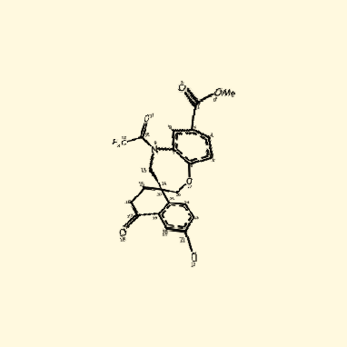 COC(=O)c1ccc2c(c1)N(C(=O)C(F)(F)F)C[C@@]1(CCC(=O)c3cc(Cl)ccc31)CO2